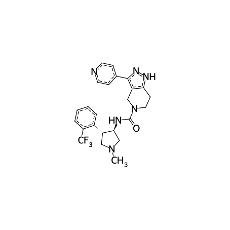 CN1C[C@H](NC(=O)N2CCc3[nH]nc(-c4ccncc4)c3C2)[C@@H](c2ccccc2C(F)(F)F)C1